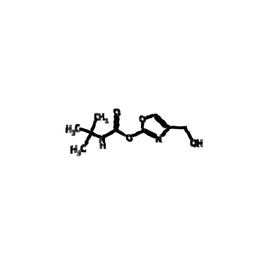 CC(C)(C)NC(=O)Oc1nc(CO)co1